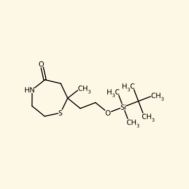 CC1(CCO[Si](C)(C)C(C)(C)C)CC(=O)NCCS1